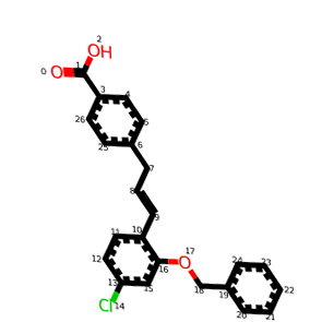 O=C(O)c1ccc(C/C=C/c2ccc(Cl)cc2OCc2ccccc2)cc1